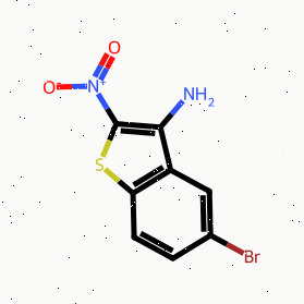 Nc1c([N+](=O)[O-])sc2ccc(Br)cc12